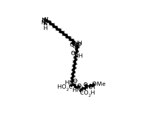 COCCNC(=O)CCC(NC(=O)CCC(NC(=O)CCCCCCCCCCCNC(=O)CCCS(=O)(=O)NC(=O)CCCCCCCCCCCCCCCc1nnn[nH]1)C(=O)O)C(=O)O